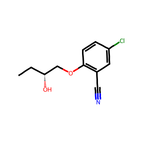 CC[C@@H](O)COc1ccc(Cl)cc1C#N